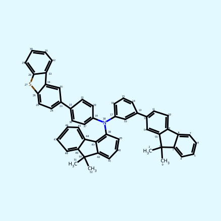 CC1(C)c2ccccc2-c2ccc(-c3cccc(N(c4ccc(-c5ccc6sc7ccccc7c6c5)cc4)c4cccc5c4-c4ccccc4C5(C)C)c3)cc21